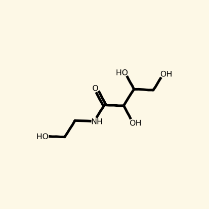 O=C(NCCO)C(O)C(O)CO